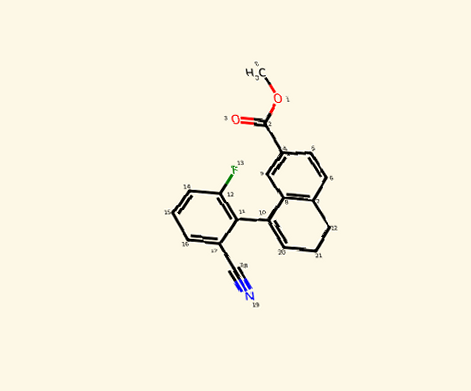 COC(=O)c1ccc2c(c1)C(c1c(F)cccc1C#N)=CCC2